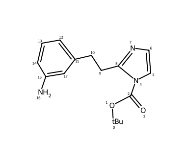 CC(C)(C)OC(=O)n1ccnc1CCc1cccc(N)c1